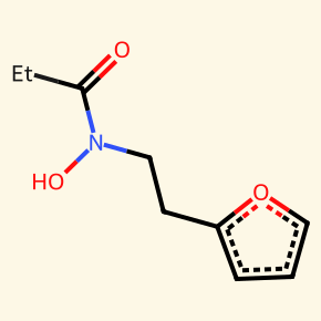 CCC(=O)N(O)CCc1ccco1